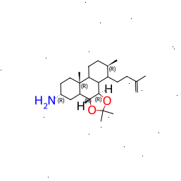 C=C(C)CCC1C2C(CC[C@H]1C)[C@@]1(C)CC[C@@H](N)CC1[C@H]1OC(C)(C)O[C@H]21